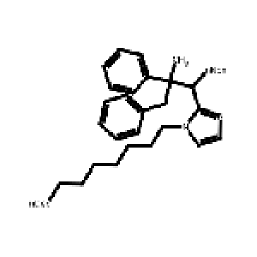 CCCCCCCCCCCCCCCCCn1ccnc1C(CCCCCCCCC)C(C)(Cc1ccccc1)c1ccccc1